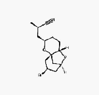 C[C@@H](C#N)C[C@H]1CC[C@@H]2O[C@H]3C[C@@H](Br)C[C@@]2(C3)O1